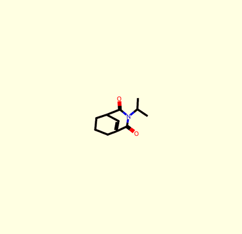 CC(C)N1C(=O)C2=CC(CCC2)C1=O